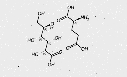 N[C@@H](CCC(=O)O)C(=O)O.O=C(O)[C@H](O)[C@@H](O)[C@H](O)[C@H](O)CO